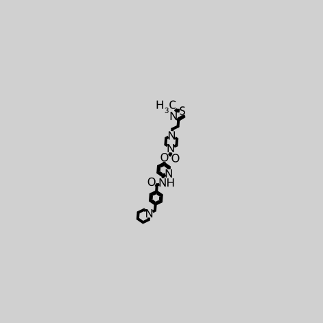 Cc1nc(CCN2CCN(C(=O)Oc3ccc(NC(=O)c4ccc(CN5CCCCC5)cc4)nc3)CC2)cs1